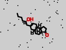 CCCC[C@H](O)CC1=CC[C@@H]2[C@H](CC[C@]3(C)C(=O)CC[C@@H]23)C1